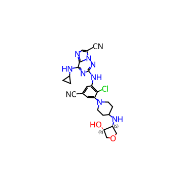 N#Cc1cc(Nc2nc(NC3CC3)c3ncc(C#N)n3n2)c(Cl)c(N2CCC(N[C@H]3COC[C@@H]3O)CC2)c1